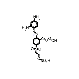 Nc1ccc(/N=N/c2ccc(S(=O)(=O)CCOS(=O)(=O)O)cc2SOOO)c(N)c1